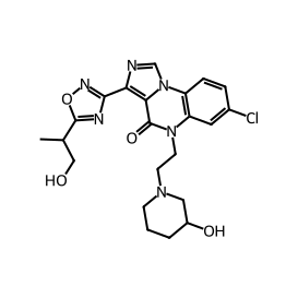 CC(CO)c1nc(-c2ncn3c2c(=O)n(CCN2CCCC(O)C2)c2cc(Cl)ccc23)no1